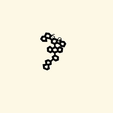 c1cc(-c2ccc3ccccc3c2)cc(-c2c3ccccc3c(-c3cc4c(sc5ccc6ccccc6c54)c4oc5ccccc5c34)c3ccccc23)c1